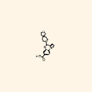 O=C(O)c1ccc2c(c1)nc(N1CCC3(CCOC3)CC1)c1cccn12